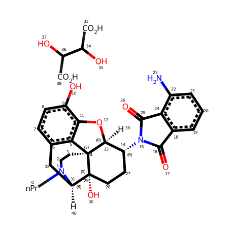 CCCN1CC[C@]23c4c5ccc(O)c4O[C@H]2[C@H](N2C(=O)c4cccc(N)c4C2=O)CC[C@@]3(O)[C@H]1C5.O=C(O)C(O)C(O)C(=O)O